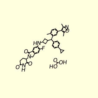 Cc1ccc(-c2c(C)noc2C)cc1C(c1ccc(C2CC2)cc1)C1CC(Nc2cc3c(cc2F)CN(C2CCC(=O)NC2=O)C3=O)C1.O=C(O)O